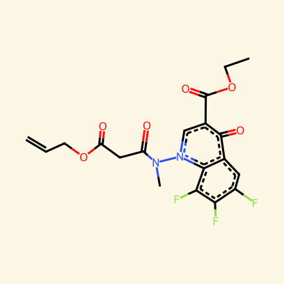 C=CCOC(=O)CC(=O)N(C)n1cc(C(=O)OCC)c(=O)c2cc(F)c(F)c(F)c21